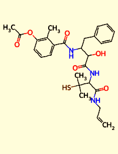 C=CCNC(=O)C(NC(=O)C(O)C(Cc1ccccc1)NC(=O)c1cccc(OC(C)=O)c1C)C(C)(C)S